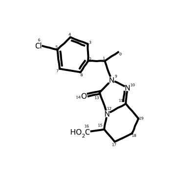 CC(c1ccc(Cl)cc1)n1nc2n(c1=O)C(C(=O)O)CCC2